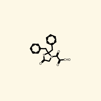 O=CC(=O)C(=O)N1CC(=O)SC1(Cc1ccccc1)Cc1ccccc1